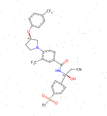 CCS(=O)(=O)c1ccc([C@@](O)(CC#N)NC(=O)c2ccc(N3CC[C@@H](Oc4ccc(C(F)(F)F)cc4)C3)c(C(F)(F)F)c2)cc1